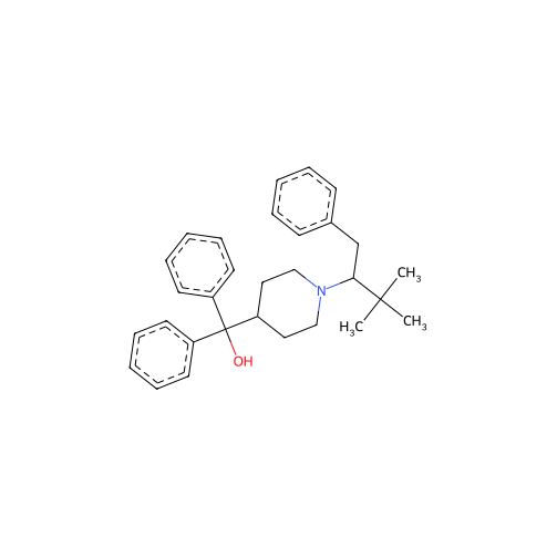 CC(C)(C)C(Cc1ccccc1)N1CCC(C(O)(c2ccccc2)c2ccccc2)CC1